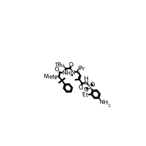 CCc1cc(N)ccc1S(=O)(=O)NC(=O)C(C)=C[C@H](C(C)C)N(C)C(=O)[C@@H](NC(=O)[C@@H](NC)C(C)(C)c1ccccc1)C(C)(C)C